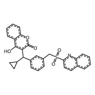 O=c1oc2ccccc2c(O)c1C(c1cccc(CS(=O)(=O)c2ccc3ccccc3n2)c1)C1CC1